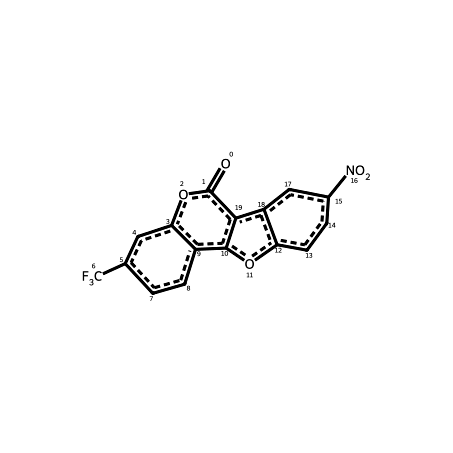 O=c1oc2cc(C(F)(F)F)ccc2c2oc3ccc([N+](=O)[O-])cc3c12